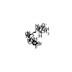 CN/C(=C\[NH+]([O-])O)NCCSc1nonc1/C(=N/O)Nc1ccc(F)c(Br)c1